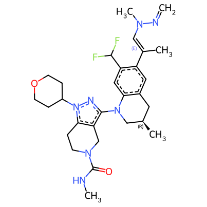 C=NN(C)/C=C(\C)c1cc2c(cc1C(F)F)N(c1nn(C3CCOCC3)c3c1CN(C(=O)NC)CC3)C[C@H](C)C2